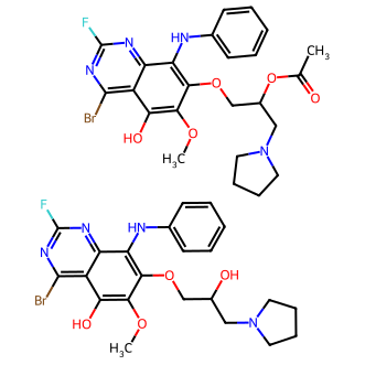 COc1c(OCC(CN2CCCC2)OC(C)=O)c(Nc2ccccc2)c2nc(F)nc(Br)c2c1O.COc1c(OCC(O)CN2CCCC2)c(Nc2ccccc2)c2nc(F)nc(Br)c2c1O